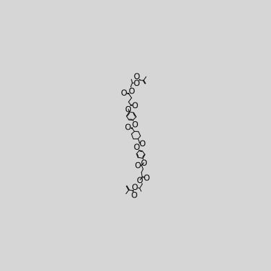 C=C(C)C(=O)OC(C)COC(=O)CCC(=O)Oc1ccc(OC(=O)C2CCC(C(=O)Oc3ccc(OC(=O)CCC(=O)OCC(C)OC(=O)C(=C)C)cc3)CC2)cc1